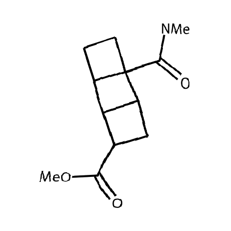 CNC(=O)C12C3C4C1C1C2C3C41C(=O)OC